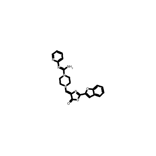 NC(=Nc1ccccn1)N1CCN(C=C2N=C(c3cc4ccccc4o3)OC2=O)CC1